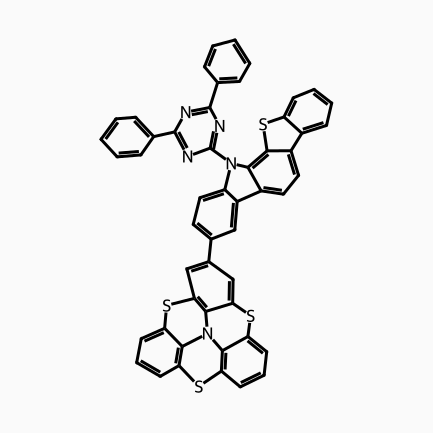 c1ccc(-c2nc(-c3ccccc3)nc(-n3c4ccc(-c5cc6c7c(c5)Sc5cccc8c5N7c5c(cccc5S6)S8)cc4c4ccc5c6ccccc6sc5c43)n2)cc1